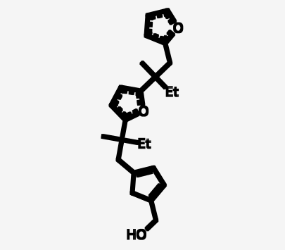 CCC(C)(CC1=CC=C(CO)C1)c1ccc(C(C)(CC)Cc2ccco2)o1